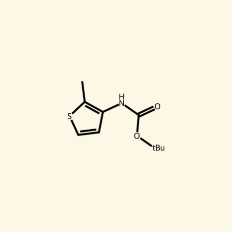 Cc1sccc1NC(=O)OC(C)(C)C